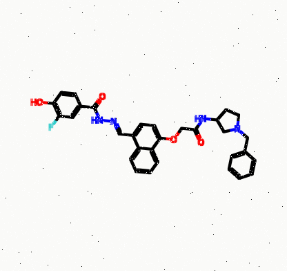 O=C(COc1ccc(C=NNC(=O)c2ccc(O)c(F)c2)c2ccccc12)NC1CCN(Cc2ccccc2)C1